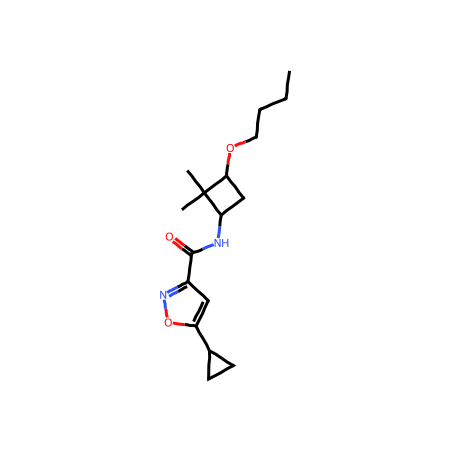 CCCCOC1CC(NC(=O)c2cc(C3CC3)on2)C1(C)C